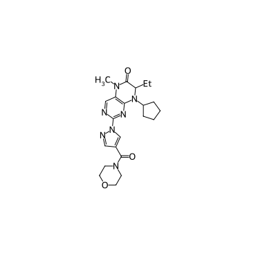 CCC1C(=O)N(C)c2cnc(-n3cc(C(=O)N4CCOCC4)cn3)nc2N1C1CCCC1